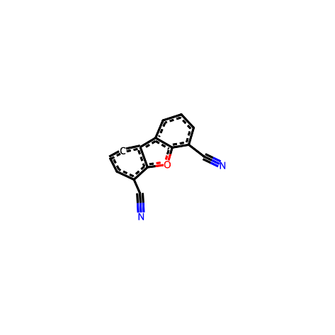 N#Cc1cccc2c1oc1c(C#N)cccc12